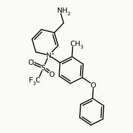 Cc1cc(Oc2ccccc2)ccc1[N+]1(S(=O)(=O)C(F)(F)F)C=C(CN)C=CC1